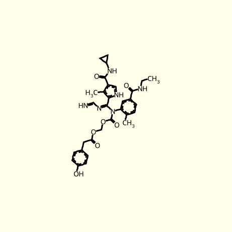 CCNC(=O)c1ccc(C)c(N(C(=O)OCOC(=O)Cc2ccc(O)cc2)/C(=N/C=N)c2[nH]cc(C(=O)NC3CC3)c2C)c1